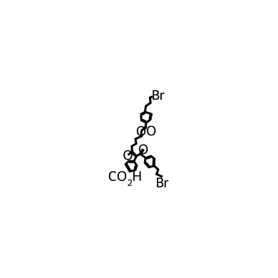 O=C(O)c1ccc2oc(CCCCOC(=O)c3ccc(CCCBr)cc3)c(C(=O)c3ccc(CCCBr)cc3)c2c1